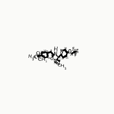 Cn1cc([C@@H](NC(=O)Cc2ccc(C(C)(C)C)cc2)c2ccc(OCC(F)(F)F)cn2)nn1